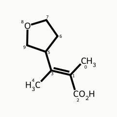 CC(C(=O)O)=C(C)C1CCOC1